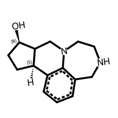 O[C@@H]1CC[C@@H]2c3cccc4c3N(CCNC4)CC12